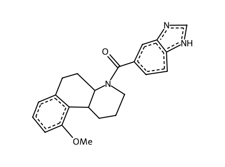 COc1cccc2c1C1CCCN(C(=O)c3ccc4[nH]cnc4c3)C1CC2